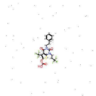 O=C(O)Oc1sc2c(c1C(F)(F)F)c(=O)n(CCc1ccccc1)c(=O)n2CCC(F)(F)F